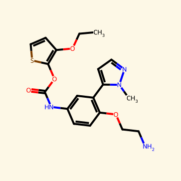 CCOc1ccsc1OC(=O)Nc1ccc(OCCN)c(-c2ccnn2C)c1